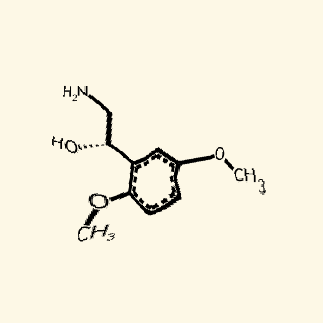 COc1ccc(OC)c([C@H](O)CN)c1